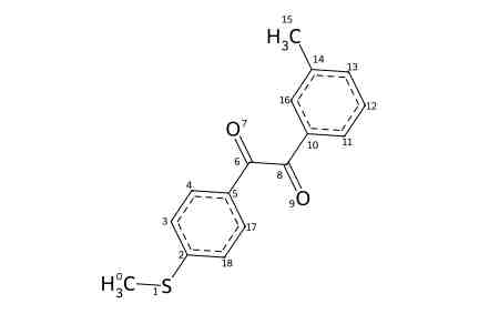 CSc1ccc(C(=O)C(=O)c2cccc(C)c2)cc1